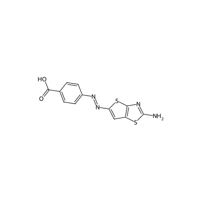 Nc1nc2sc(N=Nc3ccc(C(=O)O)cc3)cc2s1